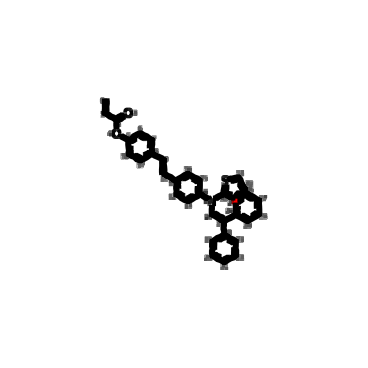 C=CC(=O)Oc1ccc(C=Cc2ccc(N(C=C(c3ccccc3)c3ccccc3)c3cccs3)cc2)cc1